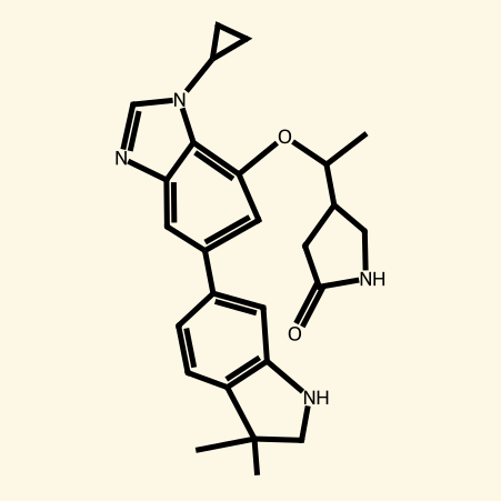 CC(Oc1cc(-c2ccc3c(c2)NCC3(C)C)cc2ncn(C3CC3)c12)C1CNC(=O)C1